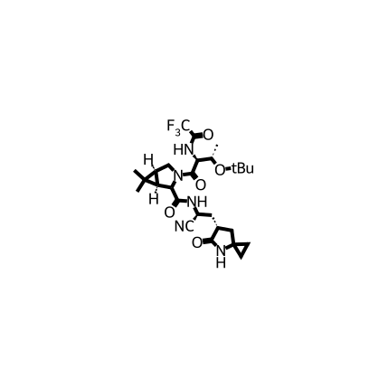 C[C@H](OC(C)(C)C)[C@H](NC(=O)C(F)(F)F)C(=O)N1C[C@H]2[C@@H](C1C(=O)N[C@H](C#N)C[C@@H]1CC3(CC3)NC1=O)C2(C)C